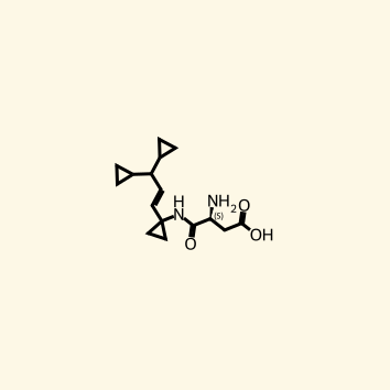 N[C@@H](CC(=O)O)C(=O)NC1(C=CC(C2CC2)C2CC2)CC1